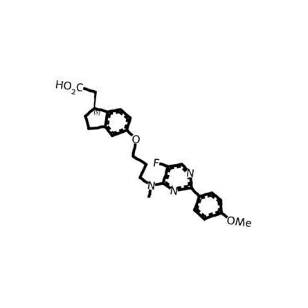 COc1ccc(-c2ncc(F)c(N(C)CCCOc3ccc4c(c3)CC[C@H]4CC(=O)O)n2)cc1